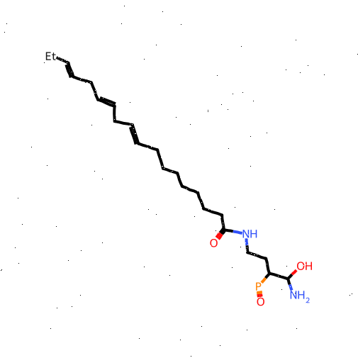 CCC=CCC=CCC=CCCCCCCCC(=O)NCCC(P=O)C(N)O